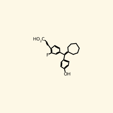 O=C(O)C=Cc1ccc(C(=C2CCCCCC2)c2ccc(O)cc2)cc1F